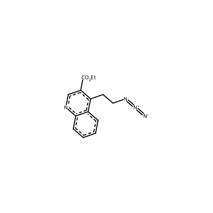 CCOC(=O)c1cnc2ccccc2c1CCN=[N+]=[N-]